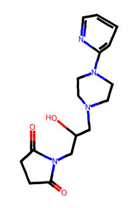 O=C1CCC(=O)N1CC(O)CN1CCN(c2ccccn2)CC1